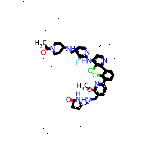 COc1nc(-c2cccc(-c3nccc(Nc4nccc(CNC5CCN(C(C)=O)CC5)c4F)c3Cl)c2Cl)ccc1CNC[C@@H]1CCC(=O)N1